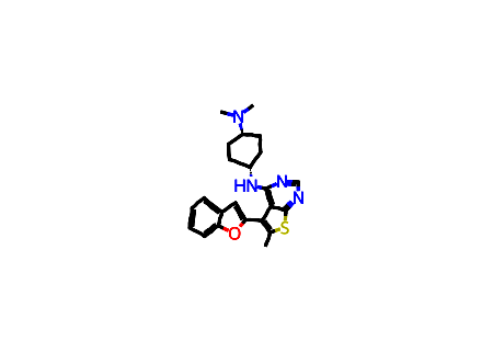 Cc1sc2ncnc(N[C@H]3CC[C@H](N(C)C)CC3)c2c1-c1cc2ccccc2o1